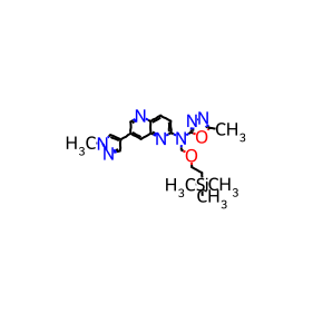 Cc1nnc(N(COCC[Si](C)(C)C)c2ccc3ncc(-c4cnn(C)c4)cc3n2)o1